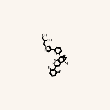 CC1(C)[C@H]2CC[C@]1(c1cccc(-c3cnn(CC(O)CO)c3)n1)c1nnc(-c3c(F)cccc3F)cc12